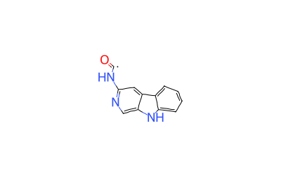 O=[C]Nc1cc2c(cn1)[nH]c1ccccc12